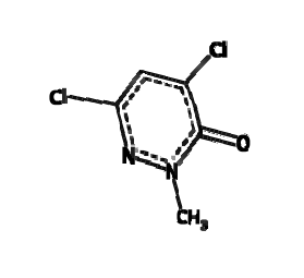 Cn1nc(Cl)cc(Cl)c1=O